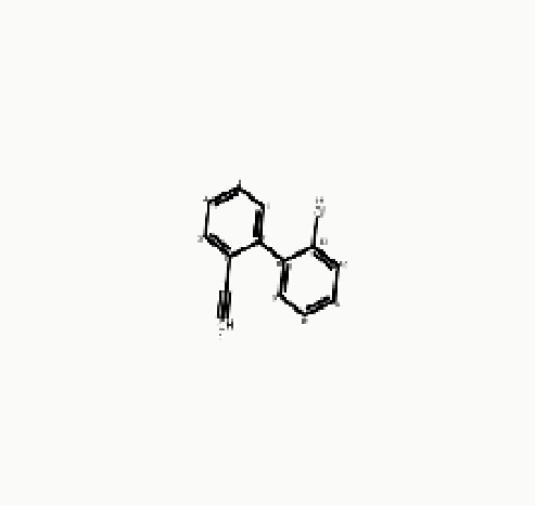 C#Cc1ccccc1-c1ccccc1Cl